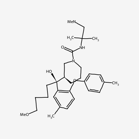 CNCC(C)(C)NC(=O)N1CCC[C@@H]([C@@](O)(CCCCOC)c2cc(C)ccc2Oc2ccc(C)cc2)C1